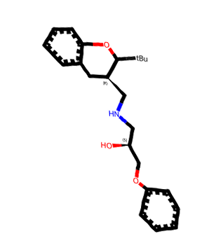 CC(C)(C)C1Oc2c[c]ccc2C[C@@H]1CNC[C@H](O)COc1ccccc1